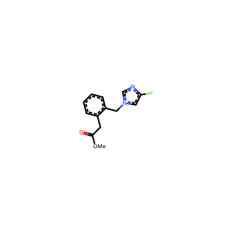 COC(=O)Cc1ccccc1Cn1cnc(F)c1